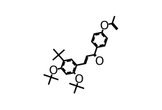 C=C(C)Oc1ccc(C(=O)/C=C/c2cc(C(C)(C)C)c(OC(C)(C)C)cc2OC(C)(C)C)cc1